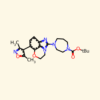 Cc1noc(C)c1-c1ccc2nc(N3CCCN(C(=O)OC(C)(C)C)CC3)n3c2c1OCC3